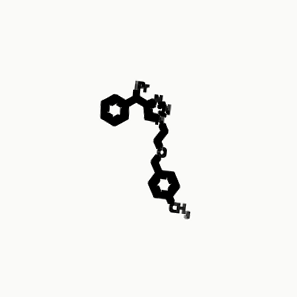 Cc1ccc(COCCn2cc(C(c3ccccc3)C(C)C)nn2)cc1